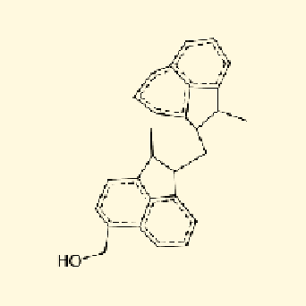 CC1c2cccc3cccc(c23)C1CC1c2cccc3c(CO)ccc(c23)C1C